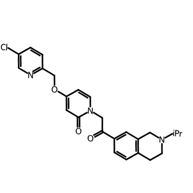 CC(C)N1CCc2ccc(C(=O)Cn3ccc(OCc4ccc(Cl)cn4)cc3=O)cc2C1